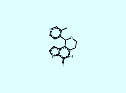 Cc1cnccc1C1OCCc2[nH]c(=O)c3sccc3c21